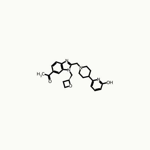 CC(=O)c1ccc2nc(CN3CCC(c4cccc(O)n4)CC3)n(C[C@@H]3CCO3)c2c1